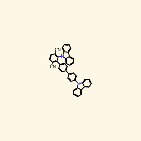 N#Cc1ccc(C#N)c(-n2c3ccccc3c3ccccc32)c1-c1ccc(-c2ccc(-n3c4ccccc4c4ccccc43)cc2)cc1